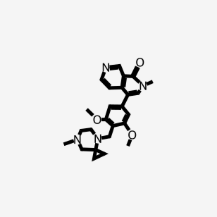 COc1cc(-c2cn(C)c(=O)c3cnccc23)cc(OC)c1CN1CCN(C)CC12CC2